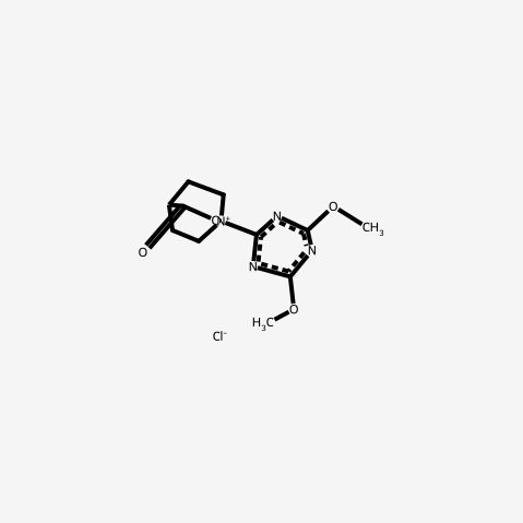 COc1nc(OC)nc([N+]23CCC(CC2)C(=O)C3)n1.[Cl-]